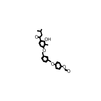 Cc1c(OCc2cccc(COc3ccc(OC=O)cc3)c2)ccc(C(=O)CC(C)C)c1O